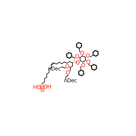 CCCCCCCCCCCCOCC(CC(CCCCCC/C=C\CCCCCCCCP(=O)(O)O)SO[C@@H]1[C@@H](OCc2ccccc2)[C@H](OCc2ccccc2)[C@@H](OCc2ccccc2)[C@H](OCc2ccccc2)[C@@H]1OCc1ccccc1)OCCCCCCCCCCCC